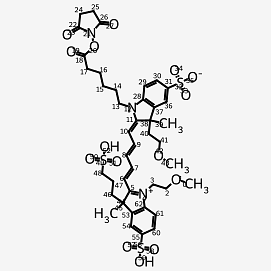 COCC[N+]1=C(/C=C/C=C/C=C2/N(CCCCCC(=O)ON3C(=O)CCC3=O)c3ccc(S(=O)(=O)[O-])cc3C2(C)CCOC)C(C)(CCCS(=O)(=O)O)c2cc(S(=O)(=O)O)ccc21